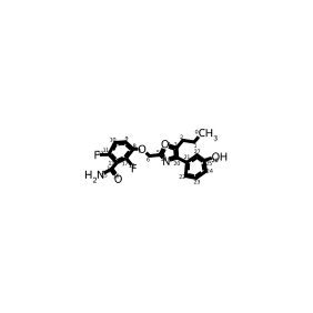 CCCc1oc(COc2ccc(F)c(C(N)=O)c2F)nc1-c1cccc(O)c1